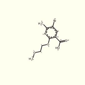 COCCOc1nc(C)c(Br)cc1C(=O)O